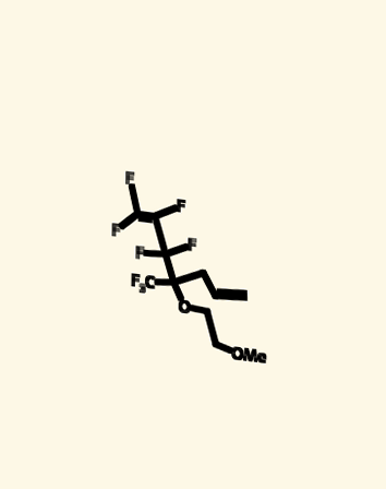 C=CCC(OCCOC)(C(F)(F)F)C(F)(F)C(F)=C(F)F